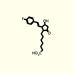 O=C(O)CCCCCCC1C(=O)CC(O)C1C=Cc1ccc(F)cc1